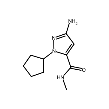 CNC(=O)c1cc(N)nn1C1CCCC1